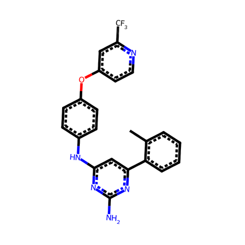 Cc1ccccc1-c1cc(Nc2ccc(Oc3ccnc(C(F)(F)F)c3)cc2)nc(N)n1